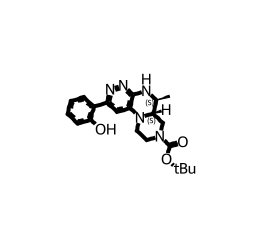 C[C@@H]1Nc2nnc(-c3ccccc3O)cc2N2CCN(C(=O)OC(C)(C)C)C[C@@H]12